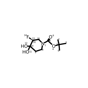 CC(C)(C)OC(=O)N1CCC(O)(O)[C@@H](F)C1